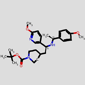 COc1ccc([C@H](C)N[C@@H](CC2CCN(C(=O)OC(C)(C)C)CC2)c2ccc(OC)nc2)cc1